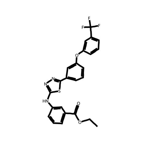 CCOC(=O)c1cccc(Nc2nnc(-c3cccc(Oc4cccc(C(F)(F)F)c4)c3)s2)c1